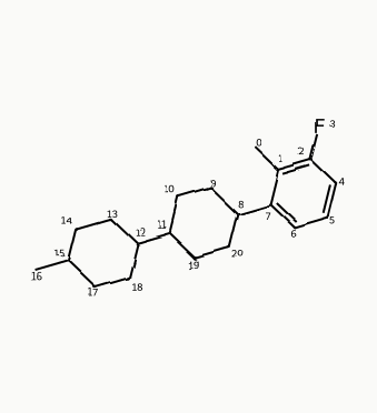 Cc1c(F)cccc1C1CCC(C2CCC(C)CC2)CC1